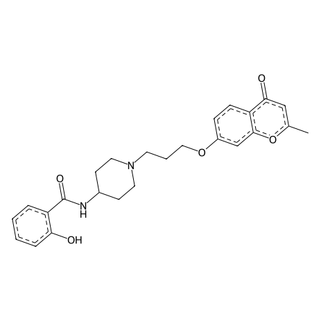 Cc1cc(=O)c2ccc(OCCCN3CCC(NC(=O)c4ccccc4O)CC3)cc2o1